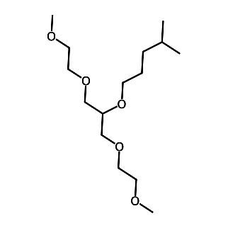 COCCOCC(COCCOC)OCCCC(C)C